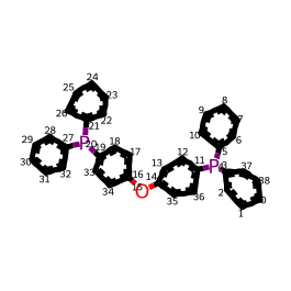 c1ccc(P(c2ccccc2)c2ccc(Oc3ccc(P(c4ccccc4)c4ccccc4)cc3)cc2)cc1